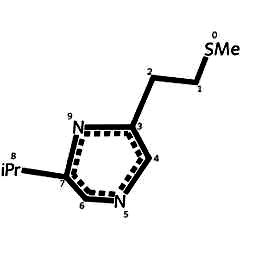 CSCCc1cncc(C(C)C)n1